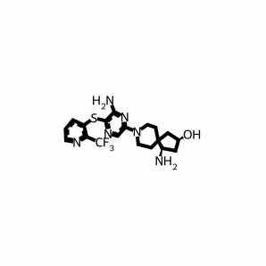 Nc1nc(N2CCC3(CC2)C[C@@H](O)C[C@H]3N)cnc1Sc1cccnc1C(F)(F)F